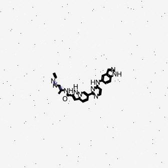 C=C/N=N\C=C(/C)NC(=O)C1=CC2C=CC(c3nccc(Nc4ccc5[nH]ncc5c4)n3)=CN2N1